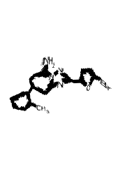 Cc1ccccc1-c1cc(N)n2nc(-c3ccc(Br)o3)nc2c1